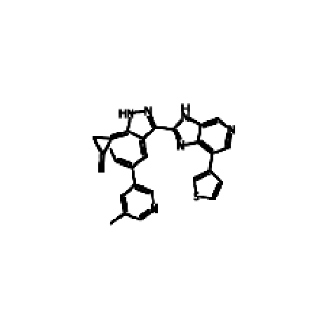 C=C1C\C1=c1/[nH]nc(-c2nc3c(-c4ccsc4)cncc3[nH]2)/c1=C/C(=C\C)c1cncc(C)c1